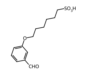 O=Cc1cccc(OCCCCCCS(=O)(=O)O)c1